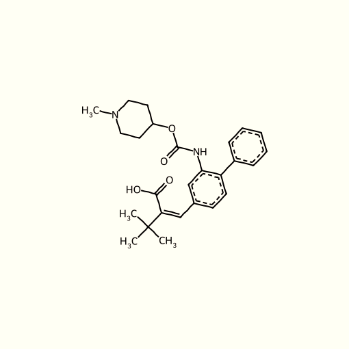 CN1CCC(OC(=O)Nc2cc(C=C(C(=O)O)C(C)(C)C)ccc2-c2ccccc2)CC1